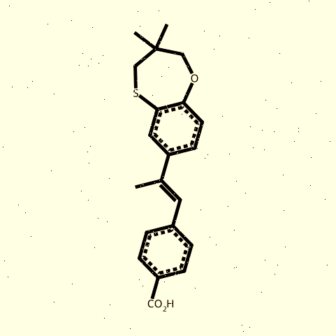 CC(=Cc1ccc(C(=O)O)cc1)c1ccc2c(c1)SCC(C)(C)CO2